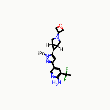 CC(C)n1nc(-c2cnc(N)c(C(C)(F)F)c2)cc1[C@H]1[C@@H]2CN(C3COC3)C[C@@H]21